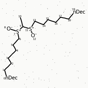 CCCCCCCCCCCCCCCC[S+]([O-])C(C)[S+]([O-])CCCCCCCCCCCCCCCC